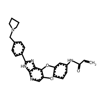 C=CC(=O)Nc1cccc(Oc2c(Cl)cnc3[nH]c(-c4ccc(CN5CCCC5)cc4)nc23)c1